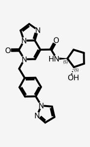 O=C(N[C@H]1CCC[C@@H]1O)c1cn(Cc2ccc(-n3cccn3)cc2)c(=O)n2ccnc12